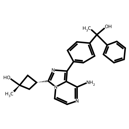 CC(O)(c1ccccc1)c1ccc(-c2nc([C@H]3C[C@@](C)(O)C3)n3ccnc(N)c23)cc1